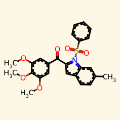 COc1cc(C(=O)c2cc3ccc(C)cc3n2S(=O)(=O)c2ccccc2)cc(OC)c1OC